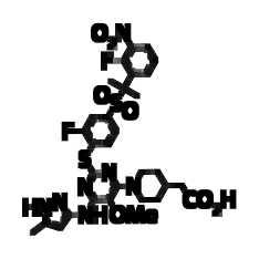 COc1c(Nc2cc(C)[nH]n2)nc(Sc2ccc(S(=O)(=O)C(C)(C)c3cccc([N+](=O)[O-])c3F)cc2F)nc1N1CCC(CC(=O)O)CC1